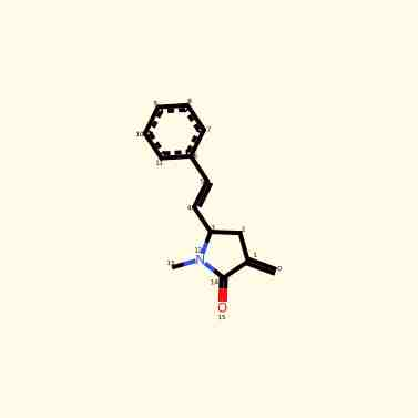 C=C1CC(C=Cc2ccccc2)N(C)C1=O